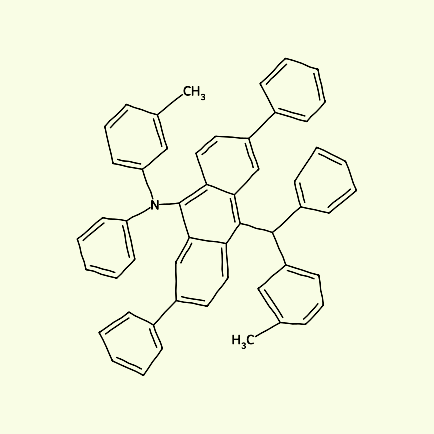 Cc1cccc(C(c2ccccc2)c2c3cc(-c4ccccc4)ccc3c(N(c3ccccc3)c3cccc(C)c3)c3cc(-c4ccccc4)ccc23)c1